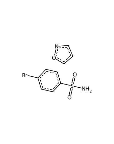 NS(=O)(=O)c1ccc(Br)cc1.c1cnoc1